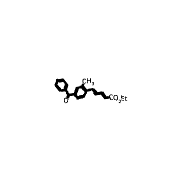 CCOC(=O)C=CC=Cc1ccc(C(=O)c2ccccc2)cc1C